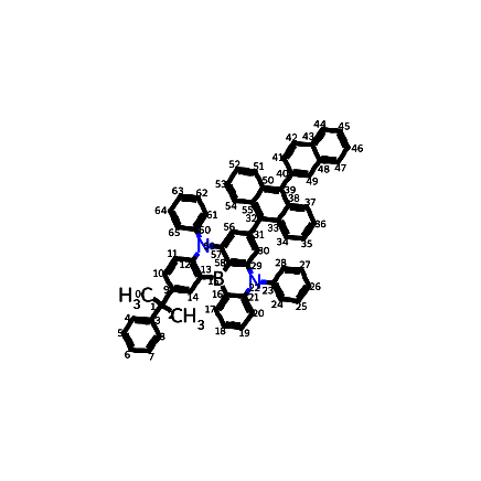 CC(C)(c1ccccc1)c1ccc2c(c1)B1c3ccccc3N(c3ccccc3)c3cc(-c4c5ccccc5c(-c5ccc6ccccc6c5)c5ccccc45)cc(c31)N2c1ccccc1